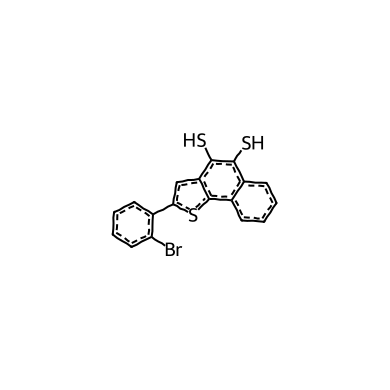 Sc1c(S)c2cc(-c3ccccc3Br)sc2c2ccccc12